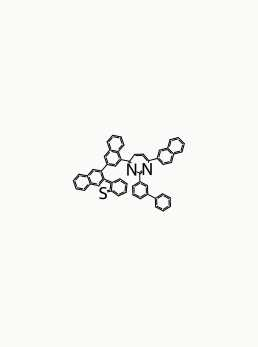 C1=CC(c2cc(-c3cc4ccccc4c4sc5ccccc5c34)cc3ccccc23)=NC(c2cccc(-c3ccccc3)c2)=NC=1c1ccc2ccccc2c1